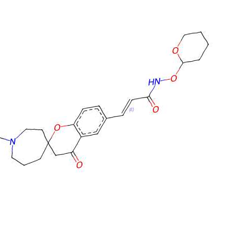 CN1CCCC2(CC1)CC(=O)c1cc(/C=C/C(=O)NOC3CCCCO3)ccc1O2